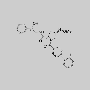 CON=C1C[C@@H](C(=O)NC[C@@H](O)c2ccccc2)N(C(=O)c2ccc(-c3ccccc3C)cc2)C1